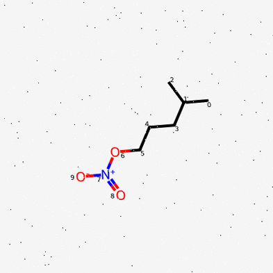 CC(C)CCCO[N+](=O)[O-]